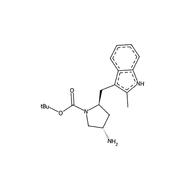 Cc1[nH]c2ccccc2c1C[C@H]1C[C@H](N)CN1C(=O)OC(C)(C)C